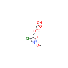 COCn1ncc(Cl)c(CCOC(=O)CC(=O)O)c1=O